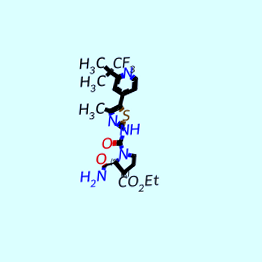 CCOC(=O)[C@@H]1CCN(C(=O)Nc2nc(C)c(-c3ccnc(C(C)(C)C(F)(F)F)c3)s2)[C@@H]1C(N)=O